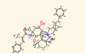 CC(=O)OC1(NC(=O)C(=Cc2ccccc2)C(F)(F)F)C=C(O)C2=C3C1O[C@H]1CCC[C@H]4[C@@H](C2)[N+](CCCCc2ccccc2)(CC2CC2)CC[C@]314